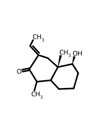 CC=C1C[C@@]2(C)C(CCC[C@@H]2O)C(C)C1=O